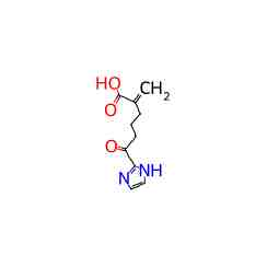 C=C(CCCC(=O)c1ncc[nH]1)C(=O)O